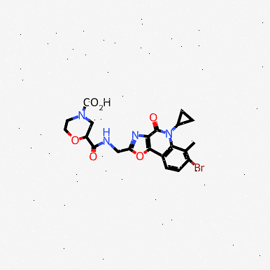 Cc1c(Br)ccc2c3oc(CNC(=O)C4CN(C(=O)O)CCO4)nc3c(=O)n(C3CC3)c12